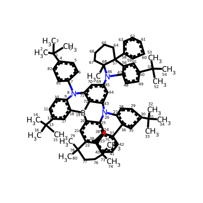 CC(C)(C)c1ccc(N2c3ccc(C(C)(C)C)cc3B3c4cc5c(cc4N(c4ccc(C(C)(C)C)cc4-c4ccccc4)c4cc(N6c7ccc(C(C)(C)C)cc7C7(c8ccccc8)CCCCC67C)cc2c43)C(C)(C)CCC5(C)C)cc1